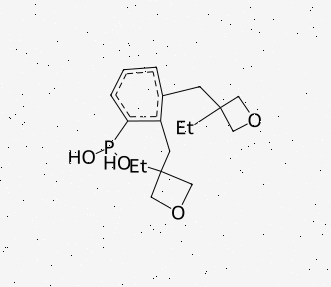 CCC1(Cc2cccc(P(O)O)c2CC2(CC)COC2)COC1